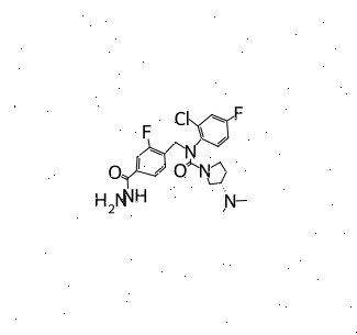 CN(C)[C@H]1CCN(C(=O)N(Cc2ccc(C(=O)NN)cc2F)c2ccc(F)cc2Cl)C1